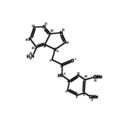 COc1ccc(NC(=O)Cn2cnc3ncnc(N)c32)cc1OC